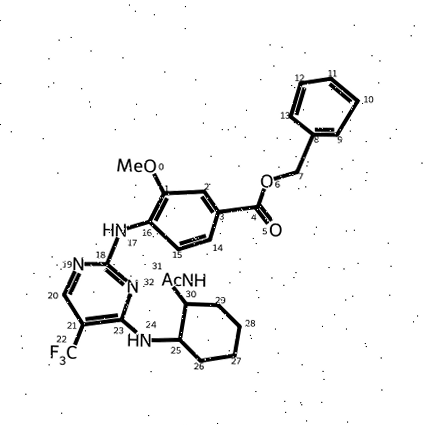 COc1cc(C(=O)OCc2ccccc2)ccc1Nc1ncc(C(F)(F)F)c(NC2CCCCC2NC(C)=O)n1